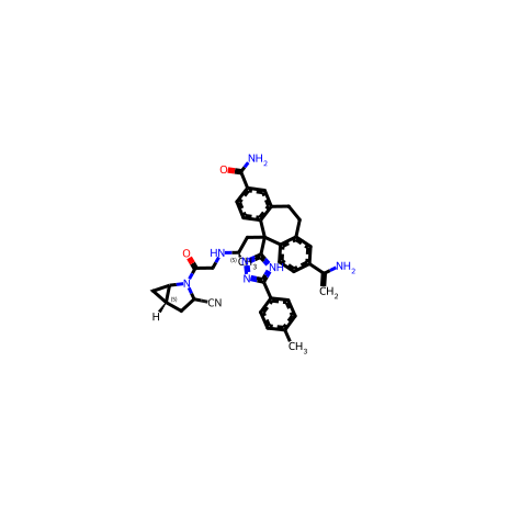 C=C(N)c1ccc2c(c1)CCc1cc(C(N)=O)ccc1C2(C[C@H](C)NCC(=O)N1C(C#N)C[C@@H]2CC21)c1nnc(-c2ccc(C)cc2)[nH]1